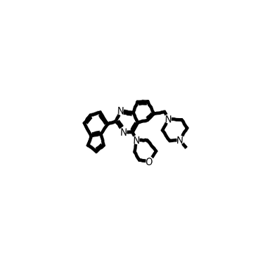 CN1CCN(Cc2ccc3nc(-c4cccc5c4C=CC5)nc(N4CCOCC4)c3c2)CC1